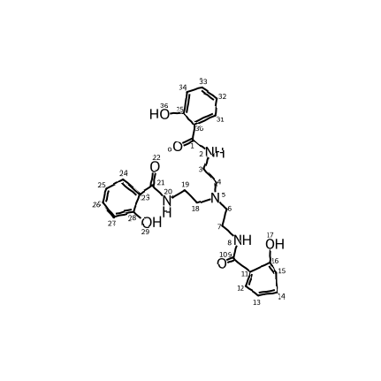 O=C(NCCN(CCNC(=O)c1ccccc1O)CCNC(=O)c1ccccc1O)c1ccccc1O